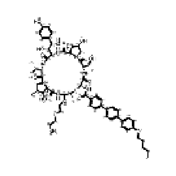 CCCCCOc1ccc(-c2ccc(-c3ccc(C(=O)N[C@H]4C[C@@H](O)[C@@H](OCCOCCN)NC(=O)[C@@H]5[C@@H](O)[C@@H](C)CN5C(=O)[C@H]([C@@H](C)O)NC(=O)[C@H]([C@H](O)[C@@H](O)c5ccc(O)cc5)NC(=O)[C@@H]5C[C@@H](O)CN5C(=O)[C@H]([C@@H](C)O)NC4=O)cc3)cc2)cc1